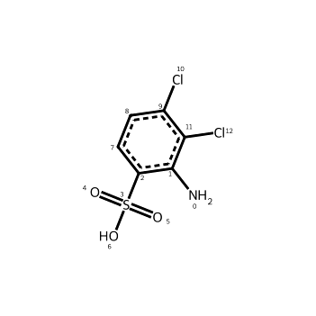 Nc1c(S(=O)(=O)O)ccc(Cl)c1Cl